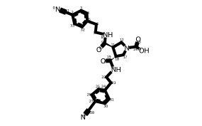 N#Cc1ccc(CCNC(=O)[C@H]2CN(C(=O)O)C[C@@H]2C(=O)NCCc2ccc(C#N)cc2)cc1